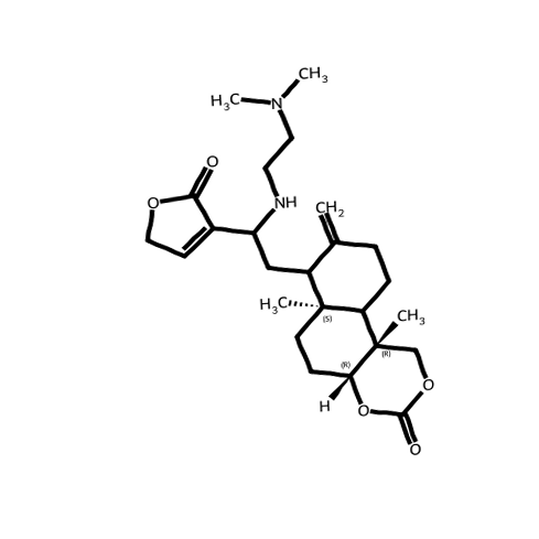 C=C1CCC2[C@@](C)(CC[C@H]3OC(=O)OC[C@@]23C)C1CC(NCCN(C)C)C1=CCOC1=O